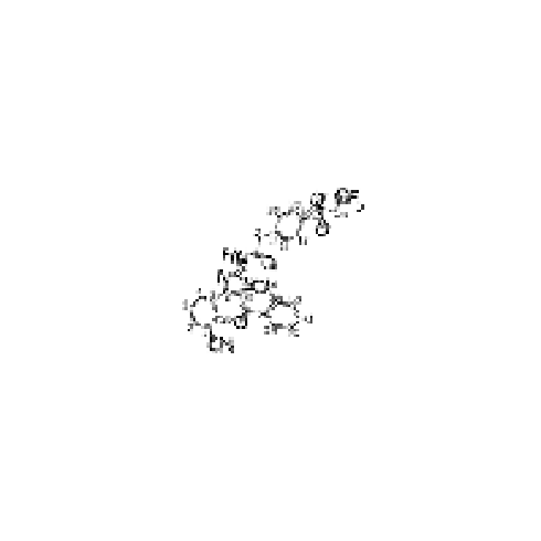 N#Cc1cccc(-c2nc(NC(=O)Cc3ccc(S(=O)(=O)CC(F)(F)F)cc3)sc2C(=O)c2ccccc2Cl)c1